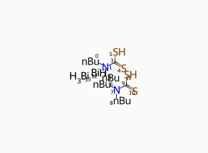 CCCCN(CCCC)C(=S)S.CCCCN(CCCC)C(=S)S.[BiH3].[BiH3]